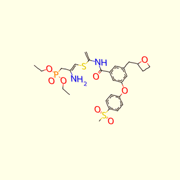 C=C(NC(=O)c1cc(CC2CCO2)cc(Oc2ccc(S(C)(=O)=O)cc2)c1)S/C=C(\N)CP(=O)(OCC)OCC